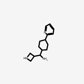 NC(C1CCC(c2ccccn2)CC1)C1CNC1